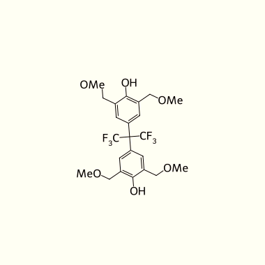 COCc1cc(C(c2cc(COC)c(O)c(COC)c2)(C(F)(F)F)C(F)(F)F)cc(COC)c1O